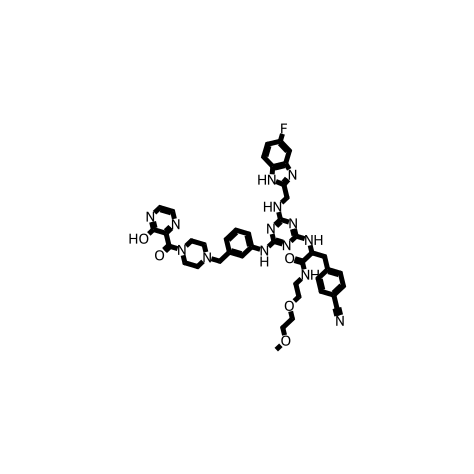 COCCOCCNC(=O)C(Cc1ccc(C#N)cc1)Nc1nc(NCc2nc3cc(F)ccc3[nH]2)nc(Nc2cccc(CN3CCN(C(=O)c4nccnc4O)CC3)c2)n1